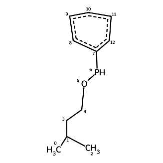 CC(C)CCOPc1ccccc1